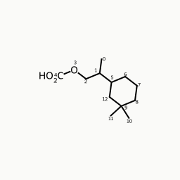 CC(COC(=O)O)C1CCCC(C)(C)C1